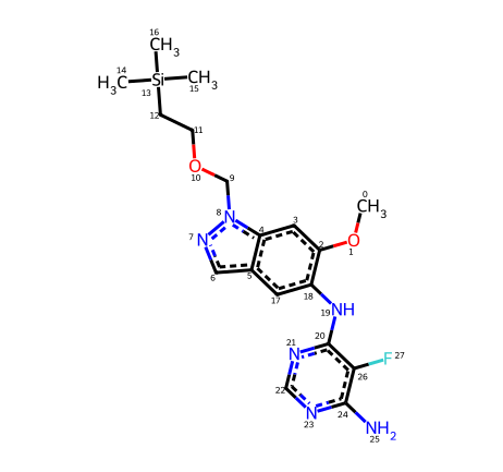 COc1cc2c(cnn2COCC[Si](C)(C)C)cc1Nc1ncnc(N)c1F